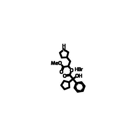 Br.COC(=O)C(CC1CCNC1)OC(=O)C(O)(c1ccccc1)C1CCCC1